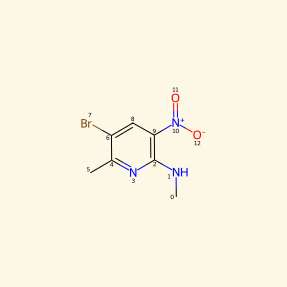 CNc1nc(C)c(Br)cc1[N+](=O)[O-]